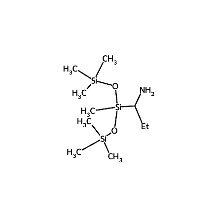 CCC(N)[Si](C)(O[Si](C)(C)C)O[Si](C)(C)C